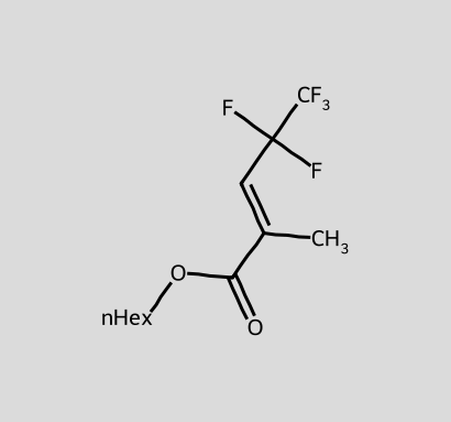 CCCCCCOC(=O)C(C)=CC(F)(F)C(F)(F)F